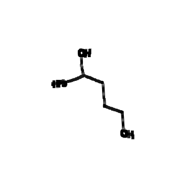 OCCC[CH](O)[PbH]